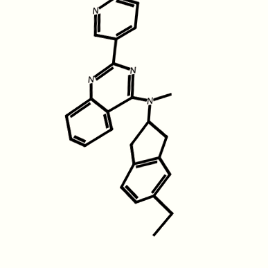 CCc1ccc2c(c1)CC(N(C)c1nc(-c3cccnc3)nc3ccccc13)C2